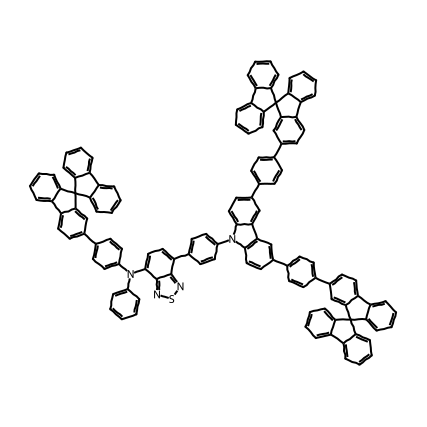 c1ccc(N(c2ccc(-c3ccc4c(c3)C3(c5ccccc5-c5ccccc53)c3ccccc3-4)cc2)c2ccc(-c3ccc(-n4c5ccc(-c6ccc(-c7ccc8c(c7)C7(c9ccccc9-c9ccccc97)c7ccccc7-8)cc6)cc5c5cc(-c6ccc(-c7ccc8c(c7)C7(c9ccccc9-c9ccccc97)c7ccccc7-8)cc6)ccc54)cc3)c3nsnc23)cc1